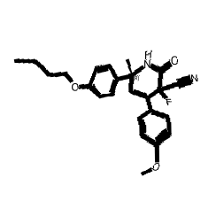 CCCCOc1ccc([C@@]2(C)C=C(c3ccc(OC)cc3)C(F)(C#N)C(=O)N2)cc1